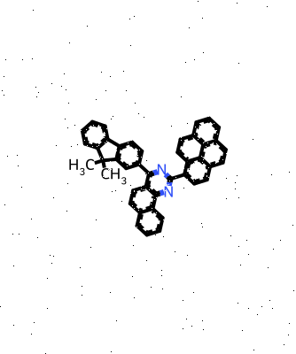 CC1(C)c2ccccc2-c2ccc(-c3nc(-c4ccc5ccc6cccc7ccc4c5c67)nc4c3ccc3ccccc34)cc21